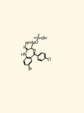 CC(=O)NN=C1Nc2ccc(Br)cc2C(c2ccc(Cl)cc2)=NC1CO[Si](C)(C)C(C)(C)C